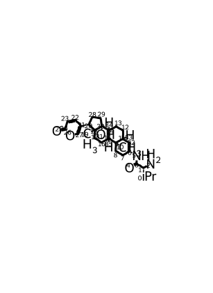 CC(C)[C@@H](N)C(=O)N[C@@H]1CC[C@]2(C)[C@H](CC[C@@H]3[C@H]2CC[C@]2(C)[C@@H](c4ccc(=O)oc4)CC[C@@]32O)C1